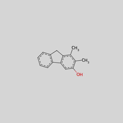 Cc1c(O)cc2c(c1C)Cc1ccccc1-2